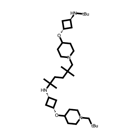 CC(C)(C)CN1CCC(O[C@H]2C[C@@H](NC(C)(C)CCC(C)(C)CN3CCC(O[C@H]4C[C@H](NC(C)(C)C)C4)CC3)C2)CC1